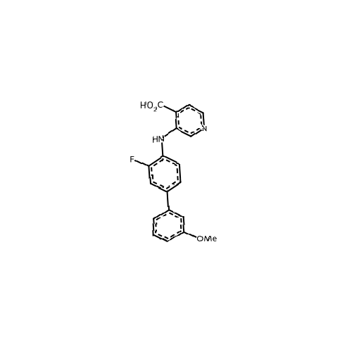 COc1cccc(-c2ccc(Nc3cnccc3C(=O)O)c(F)c2)c1